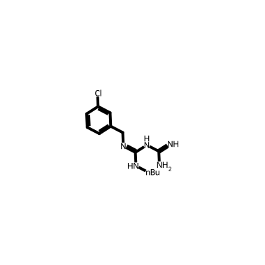 CCCCNC(=NCc1cccc(Cl)c1)NC(=N)N